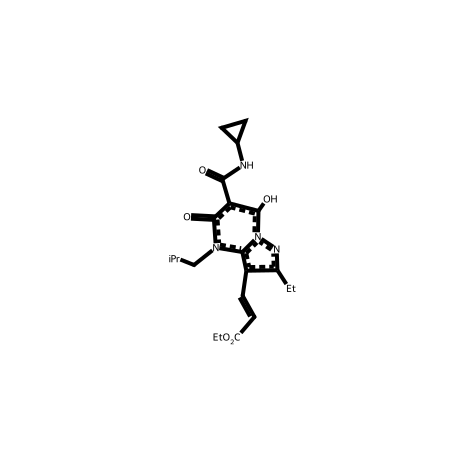 CCOC(=O)/C=C/c1c(CC)nn2c(O)c(C(=O)NC3CC3)c(=O)n(CC(C)C)c12